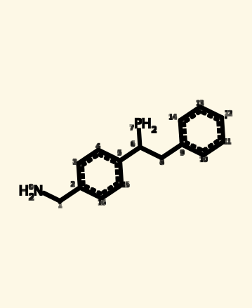 NCc1ccc(C(P)Cc2cc[c]cc2)cc1